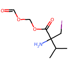 CC(C)C(N)(CI)C(=O)OCOC=O